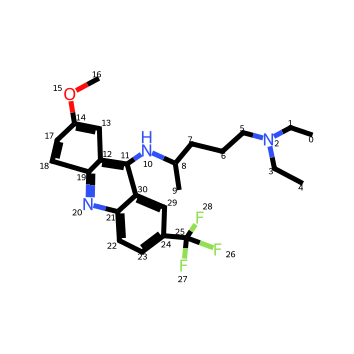 CCN(CC)CCCC(C)Nc1c2cc(OC)ccc2nc2ccc(C(F)(F)F)cc12